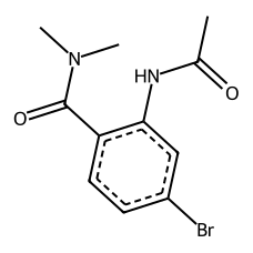 CC(=O)Nc1cc(Br)ccc1C(=O)N(C)C